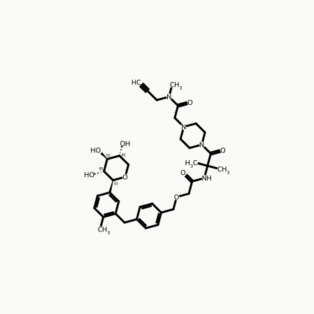 C#CCN(C)C(=O)CN1CCN(C(=O)C(C)(C)NC(=O)COCc2ccc(Cc3cc([C@@H]4OC[C@@H](O)[C@H](O)[C@H]4O)ccc3C)cc2)CC1